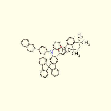 CC1(C)CCC(C)(C)c2c(-c3ccc(-c4cc5c(cc4N(c4ccccc4)c4ccc(-c6ccc7ccccc7c6)cc4)C4(c6ccccc6-c6ccccc64)c4ccccc4-5)cc3)cccc21